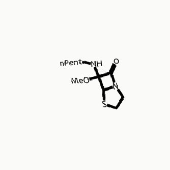 CCCCCNC1(OC)C(=O)N2CCSC21